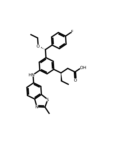 CCO[C@H](c1ccc(F)cc1)c1cc(Nc2ccc3nc(C)sc3c2)cc([C@H](CC)CC(=O)O)c1